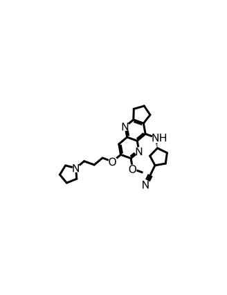 COc1nc2c(N[C@@H]3CCC(C#N)C3)c3c(nc2cc1OCCCN1CCCC1)CCC3